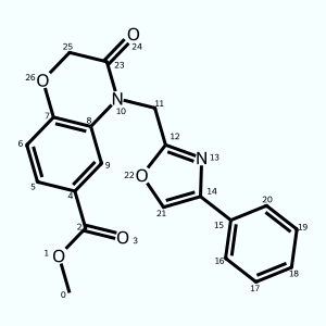 COC(=O)c1ccc2c(c1)N(Cc1nc(-c3ccccc3)co1)C(=O)CO2